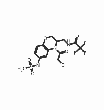 CS(=O)(=O)Nc1ccc2c(c1)N(C(=O)CCl)C(CNC(=O)C(F)(F)F)CO2